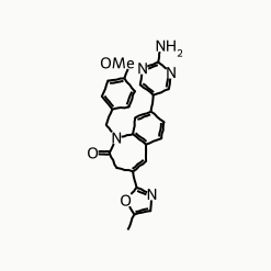 COc1ccc(CN2C(=O)CC(c3ncc(C)o3)=Cc3ccc(-c4cnc(N)nc4)cc32)cc1